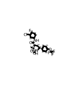 CN1[C@H](C(=O)Nc2ccc(F)c(Cl)c2)C[C@H](c2ccc(OC(F)(F)F)cc2)NS1(=O)=O